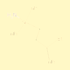 CCCC(CC)CC[Si](N)(CCC)CCC